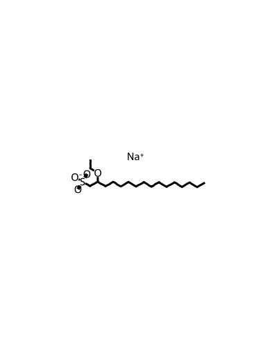 CCCCCCCCCCCCCCC(CS(=O)(=O)[O-])OCC.[Na+]